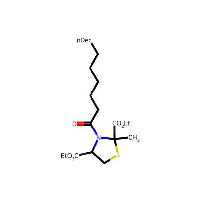 CCCCCCCCCCCCCCCC(=O)N1C(C(=O)OCC)CSC1(C)C(=O)OCC